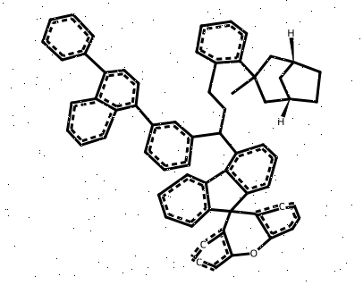 CC1(c2ccccc2CCC(c2cccc(-c3ccc(-c4ccccc4)c4ccccc34)c2)c2cccc3c2-c2ccccc2C32c3ccccc3Oc3ccccc32)C[C@@H]2CC[C@@H](C2)C1